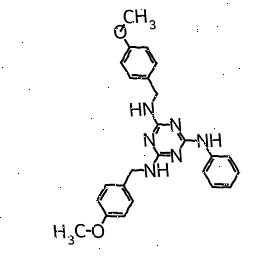 COc1ccc(CNc2nc(NCc3ccc(OC)cc3)nc(Nc3ccccc3)n2)cc1